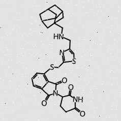 O=C1CCC(N2C(=O)c3cccc(SCc4nc(CNCC56CC7CC(CC(C7)C5)C6)cs4)c3C2=O)C(=O)N1